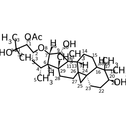 CC(=O)O[C@H]([C@H]1C[C@@H](C)[C@@H]2[C@H](O1)[C@H](O)[C@@]1(C)[C@@H]3CC[C@H]4C(C)(C)[C@@H](O)CC[C@@]45CC35CC[C@]21C)C(C)(C)O